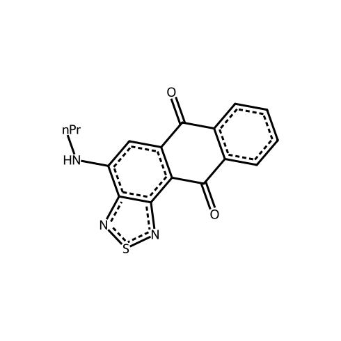 CCCNc1cc2c(c3nsnc13)C(=O)c1ccccc1C2=O